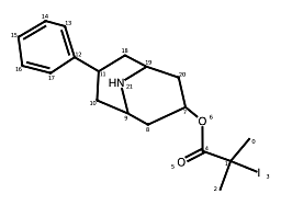 CC(C)(I)C(=O)OC1CC2CC(c3ccccc3)CC(C1)N2